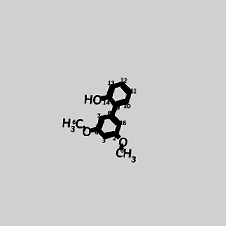 COc1cc(OC)cc(-c2ccccc2O)c1